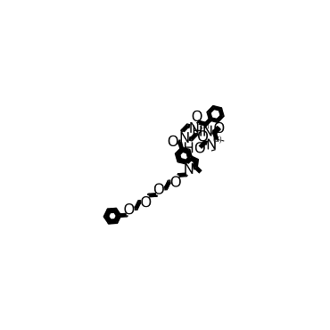 Cc1cc2cc(C(=O)N3CCN(C(=O)[C@@H](NC(=O)[C@H](C)N(C)C(=O)O)C4CCCCC4)CC3)ccc2n1CCOCCOCCOCCOCc1ccccc1